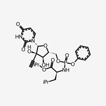 C#C[C@@]1(O)[C@H](O)[C@@H](COP(=O)(N[C@@H](CC(C)C)C(=O)OC(C)C)Oc2ccccc2)O[C@H]1n1ccc(=O)[nH]c1=O